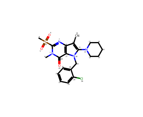 Cn1c(S(C)(=O)=O)nc2c(C#N)c(N3CCCCC3)n(Cc3ccccc3Cl)c2c1=O